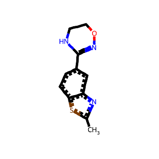 Cc1nc2cc(C3=NOCCN3)ccc2s1